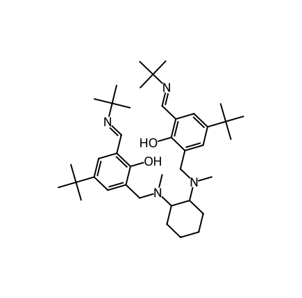 CN(Cc1cc(C(C)(C)C)cc(/C=N/C(C)(C)C)c1O)C1CCCCC1N(C)Cc1cc(C(C)(C)C)cc(/C=N/C(C)(C)C)c1O